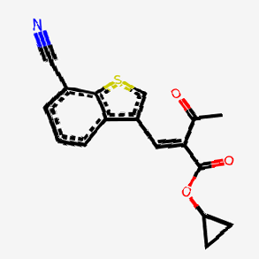 CC(=O)/C(=C\c1csc2c(C#N)cccc12)C(=O)OC1CC1